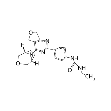 CCNC(=O)Nc1ccc(-c2nc3c(c(N4[C@@H]5CC[C@H]4COC5)n2)COC3)cc1